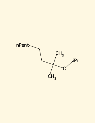 CCCCCCCC(C)(C)OC(C)C